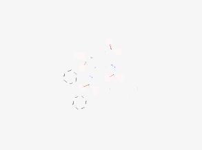 COC(=O)[C@H]1C[C@@H](C(=O)O)[C@H](CN(Cc2ccccc2)C(=O)OCc2ccccc2)[C@@H]1N(C)C(=O)OC(C)(C)C